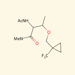 CNC(=O)C(NC(C)=O)C(C)OCC1(C(F)(F)F)CC1